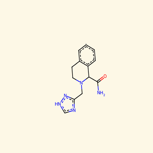 NC(=O)C1c2cc[c]cc2CCN1Cc1nc[nH]n1